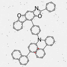 c1ccc(-c2nc3cc4oc5ccccc5c4c(-c4ccc(N(c5ccc(-c6cccc7ccccc67)cc5)c5ccccc5-c5ccccc5)cc4)c3o2)cc1